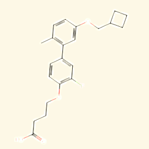 Cc1ccc(OCC2CCC2)cc1-c1ccc(OCCCC(=O)O)c(F)c1